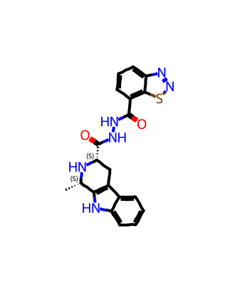 C[C@@H]1N[C@H](C(=O)NNC(=O)c2cccc3nnsc23)Cc2c1[nH]c1ccccc21